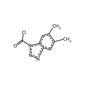 Cc1cc2nnn(C(=O)Cl)c2cc1C